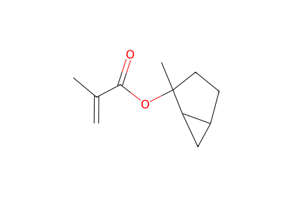 C=C(C)C(=O)OC1(C)CCC2CC21